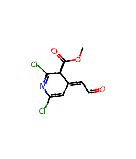 COC(=O)C1C(=CC=O)C=C(Cl)N=C1Cl